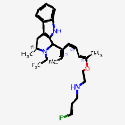 C\C(=C/C=C\C(=C\C#N)C1c2[nH]c3ccccc3c2C[C@@H](C)N1CC(F)(F)F)OCCNCCCF